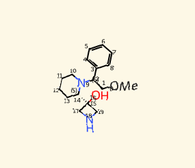 COC[C@H](c1ccccc1)N1CCCC[C@H]1C1(O)CNC1